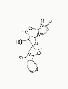 CCC1(CN2C(=O)c3ccccc3C2=O)OC(n2ccc(=O)[nH]c2=O)C(OC)C1O